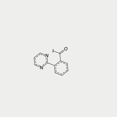 O=C(I)c1ccccc1-c1ncccn1